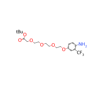 CC(C)(C)OC(=O)COCCOCCOCCOc1ccc(N)c(C(F)(F)F)c1